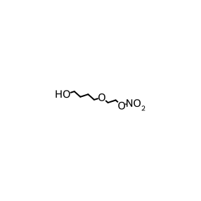 O=[N+]([O-])OCCOCCCCO